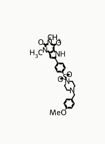 COc1ccc(CN2CCN(S(=O)(=O)c3ccc(-c4cc5c([nH]4)c(=O)n(C)c(=O)n5C)cc3)CC2)cc1